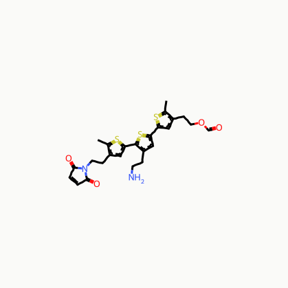 Cc1sc(-c2cc(CCN)c(-c3cc(CCN4C(=O)C=CC4=O)c(C)s3)s2)cc1CCOC=O